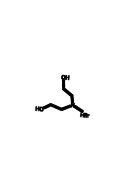 Br.CN(CCO)CCO